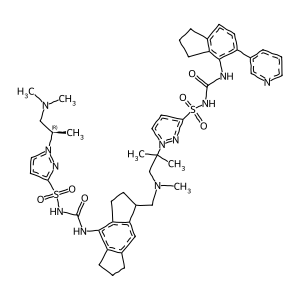 C[C@H](CN(C)C)n1ccc(S(=O)(=O)NC(=O)Nc2c3c(cc4c2CCC4CN(C)CC(C)(C)n2ccc(S(=O)(=O)NC(=O)Nc4c(-c5cccnc5)ccc5c4CCC5)n2)CCC3)n1